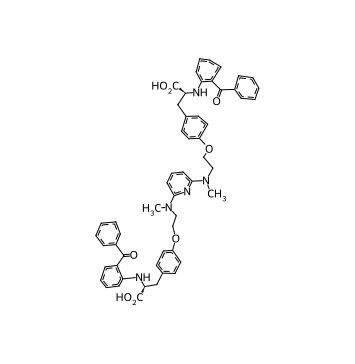 CN(CCOc1ccc(C[C@H](Nc2ccccc2C(=O)c2ccccc2)C(=O)O)cc1)c1cccc(N(C)CCOc2ccc(C[C@H](Nc3ccccc3C(=O)c3ccccc3)C(=O)O)cc2)n1